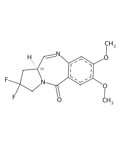 COc1cc2c(cc1OC)C(=O)N1CC(F)(F)C[C@H]1C=N2